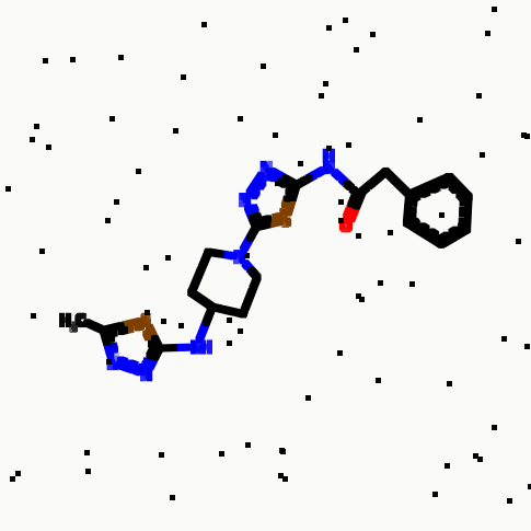 Cc1nnc(NC2CCN(c3nnc(NC(=O)Cc4ccccc4)s3)CC2)s1